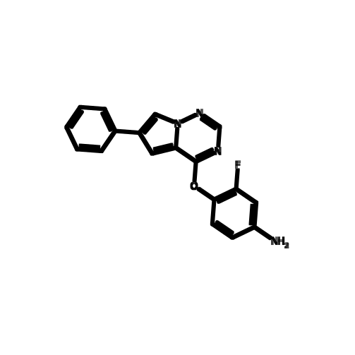 Nc1ccc(Oc2ncnn3cc(-c4ccccc4)cc23)c(F)c1